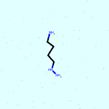 NCCCCNN